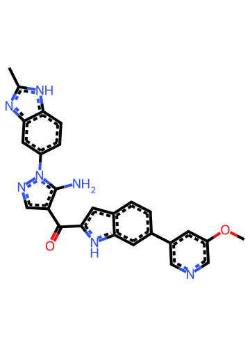 COc1cncc(-c2ccc3cc(C(=O)c4cnn(-c5ccc6[nH]c(C)nc6c5)c4N)[nH]c3c2)c1